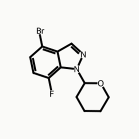 Fc1ccc(Br)c2cnn(C3CCCCO3)c12